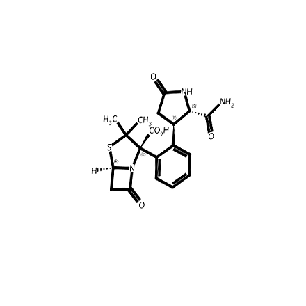 CC1(C)S[C@@H]2CC(=O)N2[C@@]1(C(=O)O)c1ccccc1[C@H]1CC(=O)N[C@@H]1C(N)=O